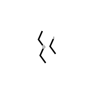 CCI.CCOCC